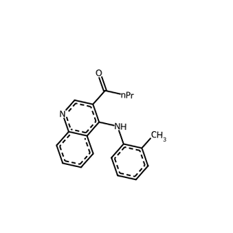 CCCC(=O)c1cnc2ccccc2c1Nc1ccccc1C